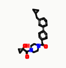 O=C(c1ccc(-c2cccc(CC3CC3)c2)cc1)N1CCN(C(=O)C2(O)CC2)CC1